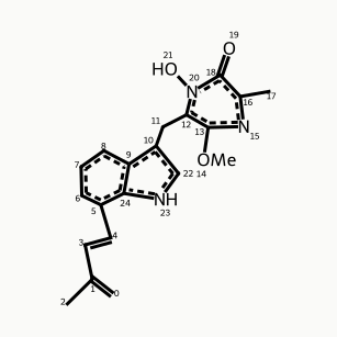 C=C(C)/C=C/c1cccc2c(Cc3c(OC)nc(C)c(=O)n3O)c[nH]c12